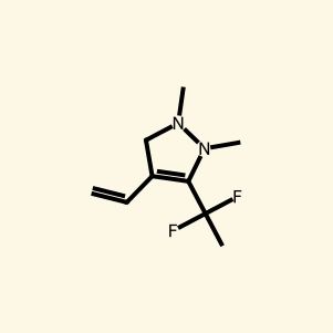 C=CC1=C(C(C)(F)F)N(C)N(C)C1